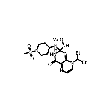 CCC(CC)N1C=CN=C2C(=O)NC(NOC)(NC3CCN(S(C)(=O)=O)CC3)N=C21